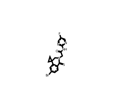 O=C(CN1CC2(CC2)c2cc(Br)ccc2C1=S)Nc1ncc(F)cn1